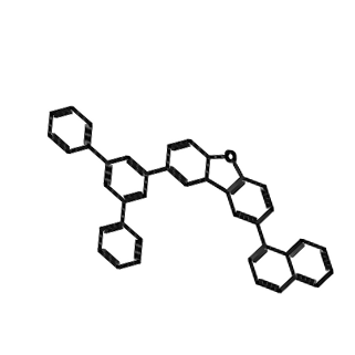 C1=CC2Oc3ccc(-c4cccc5ccccc45)cc3C2C=C1c1cc(-c2ccccc2)cc(-c2ccccc2)c1